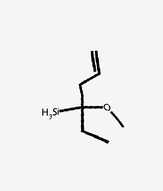 C=CCC([SiH3])(CC)OC